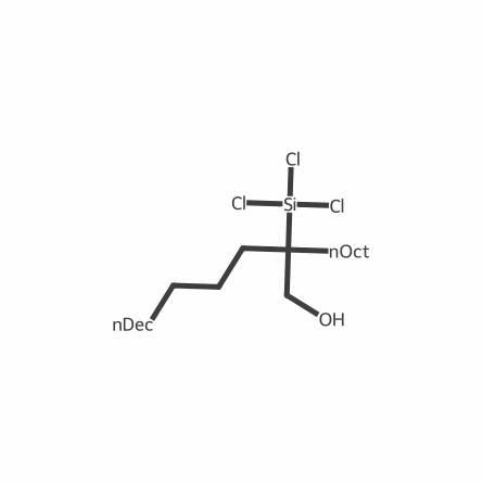 CCCCCCCCCCCCCC(CO)(CCCCCCCC)[Si](Cl)(Cl)Cl